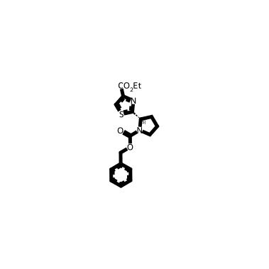 CCOC(=O)c1csc([C@@H]2CCCN2C(=O)OCc2ccccc2)n1